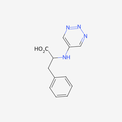 O=C(O)C(Cc1ccccc1)Nc1cnnnc1